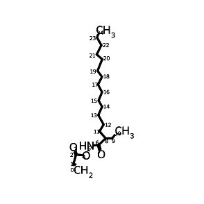 C=CC(=O)ONC(=O)C(CC)CCCCCCCCCCCCCC